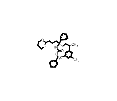 C[C@@H](CC[C@@](CCCC1OCCCO1)(NC(=O)OCc1ccccc1)c1ccccc1)c1cc(C(F)(F)F)cc(C(F)(F)F)c1